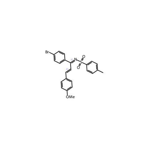 COc1ccc(/C=C/C(=N\S(=O)(=O)c2ccc(C)cc2)c2ccc(Br)cc2)cc1